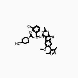 COc1cc2c(cc1-c1c(C)noc1C)[nH]c1nc(C)nc(N[C@H](CC(=O)N3CCC(O)CC3)c3cccc(Cl)c3)c12